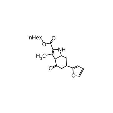 CCCCCCOC(=O)C1=C(C)C2C(=O)CC(c3ccco3)CC2N1